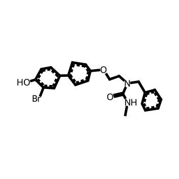 CNC(=O)N(CCOc1ccc(-c2ccc(O)c(Br)c2)cc1)Cc1ccccc1